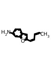 C/C=C\C=C/c1cc2ccc(N)cc2o1